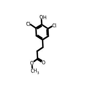 COC(=O)CCc1cc(Cl)c(O)c(Cl)c1